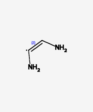 N/[C]=C\N